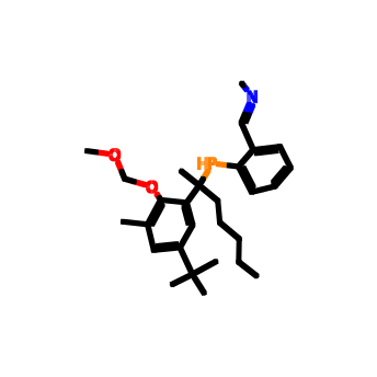 CCCCCC(C)(Pc1ccccc1/C=N/C)c1cc(C(C)(C)C)cc(C)c1OCOC